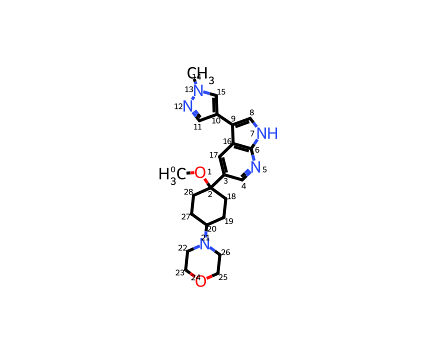 COC1(c2cnc3[nH]cc(-c4cnn(C)c4)c3c2)CCC(N2CCOCC2)CC1